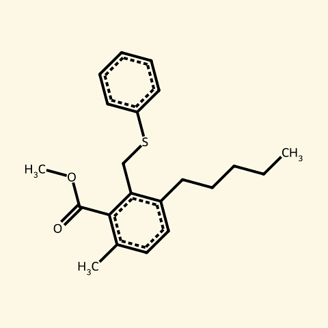 CCCCCc1ccc(C)c(C(=O)OC)c1CSc1ccccc1